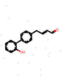 O=CC=CCc1ccc(-c2ccccc2O)cc1